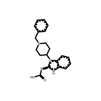 O=C(O)/N=c1\[nH]c2ccccc2n1C1CCN(Cc2ccccc2)CC1